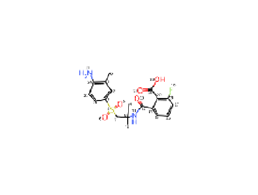 Cc1cc(S(=O)(=O)CC(C)(C)NC(=O)c2cccc(F)c2C(=O)O)ccc1N